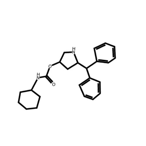 O=C(NC1CCCCC1)OC1CNC(C(c2ccccc2)c2ccccc2)C1